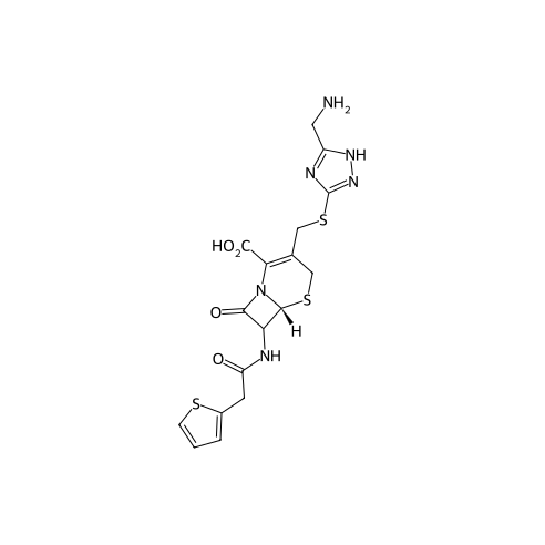 NCc1nc(SCC2=C(C(=O)O)N3C(=O)C(NC(=O)Cc4cccs4)[C@H]3SC2)n[nH]1